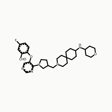 O=Cc1cc(F)ccc1Oc1cncnc1N1CCC(CN2CCC3(CCC(NC4CCOCC4)CC3)CC2)C1